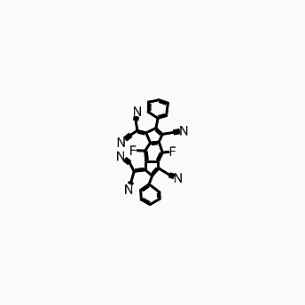 N#CC(C#N)=C1C(c2ccccc2)=C(C#N)c2c(F)c3c(c(F)c21)C(=C(C#N)C#N)C(c1ccccc1)=C3C#N